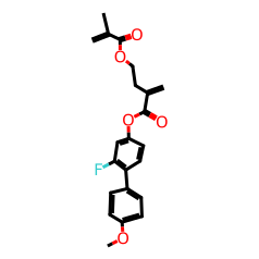 C=C(C)C(=O)OCCC(=C)C(=O)Oc1ccc(-c2ccc(OC)cc2)c(F)c1